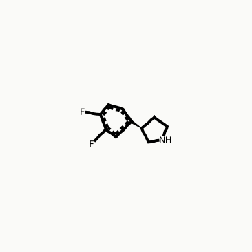 Fc1ccc([C@H]2[CH]CNC2)cc1F